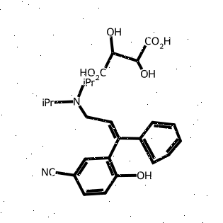 CC(C)N(CC=C(c1ccccc1)c1cc(C#N)ccc1O)C(C)C.O=C(O)C(O)C(O)C(=O)O